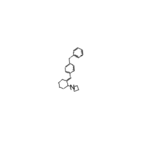 C(=C1/CCCCC1N1CCC1)/c1ccc(Cc2ccccc2)cc1